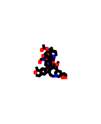 CCc1cc2c3c([nH]c2cc1C(C)=O)[C@@](C(=O)OC)(C1C=C2C(=CC1OC)N(C=O)[C@@]14O[C@]1(C(=O)OC)[C@H](OC(C)=O)[C@]1(CC)C=CCN5CC[C@]24[C@@H]51)C[C@@H]1CN(CC3)C[C@](O)(CC)C1